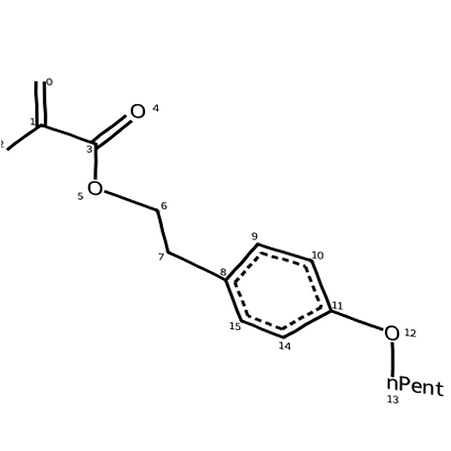 C=C(C)C(=O)OCCc1ccc(OCCCCC)cc1